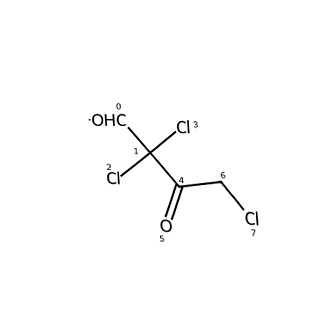 O=[C]C(Cl)(Cl)C(=O)CCl